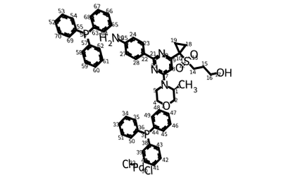 C[C@H]1COCCN1c1cc(C2(S(=O)(=O)CCCO)CC2)nc(-c2ccc(N)cc2)n1.[Cl][Pd][Cl].c1ccc(P(c2ccccc2)c2ccccc2)cc1.c1ccc(P(c2ccccc2)c2ccccc2)cc1